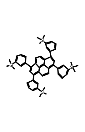 C[Si](C)(C)c1cccc(-c2cc(-c3cccc([Si](C)(C)C)c3)c3ccc4c(-c5cccc([Si](C)(C)C)c5)cc(-c5cccc([Si](C)(C)C)c5)c5ccc2c3c54)c1